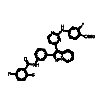 COc1ccc(Nc2nccc(-c3c(-c4cccc(NC(=O)c5cc(F)ccc5F)c4)nn4ccccc34)n2)cc1F